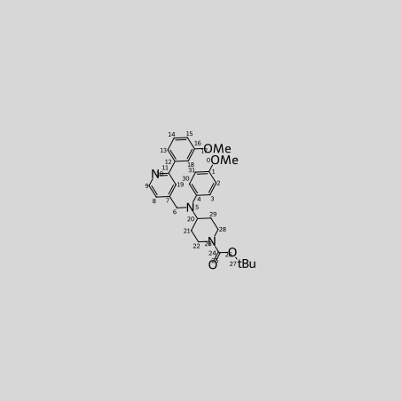 COc1ccc(N(Cc2ccnc(-c3cccc(OC)c3)c2)C2CCN(C(=O)OC(C)(C)C)CC2)cc1